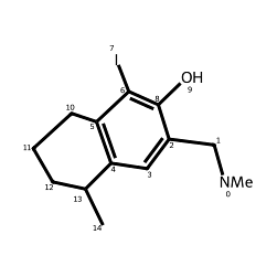 CNCc1cc2c(c(I)c1O)CCCC2C